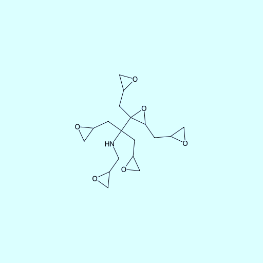 C(NC(CC1CO1)(CC1CO1)C1(CC2CO2)OC1CC1CO1)C1CO1